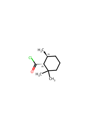 C[C@H]1CCCC(C)(C)[C@@H]1C(=O)Cl